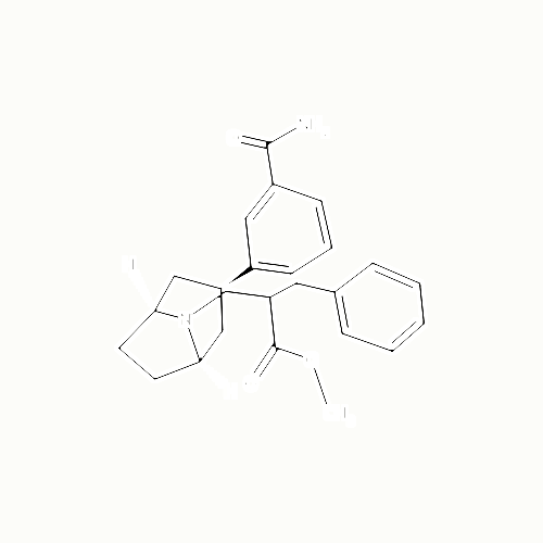 COC(=O)C(Cc1ccccc1)CN1[C@@H]2CC[C@H]1C[C@@H](c1cccc(C(N)=O)c1)C2